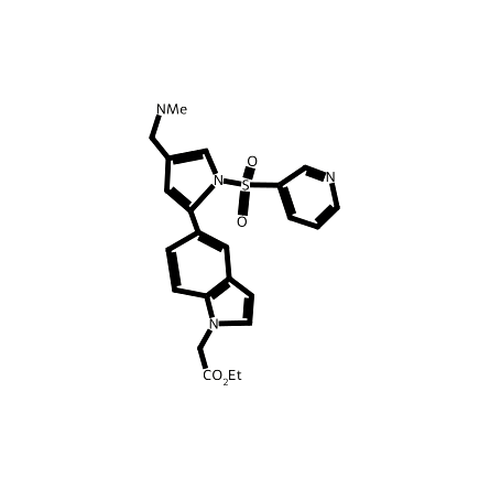 CCOC(=O)Cn1ccc2cc(-c3cc(CNC)cn3S(=O)(=O)c3cccnc3)ccc21